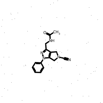 CC(=O)NCc1nn(-c2ccccc2)c2c1CN(C#N)C2